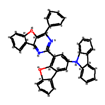 c1ccc(-c2nc(-c3cc(-n4c5ccccc5c5ccccc54)cc4c3oc3ccccc34)nc3c2oc2ccccc23)cc1